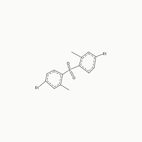 CCc1ccc(S(=O)(=O)c2ccc(CC)cc2C)c(C)c1